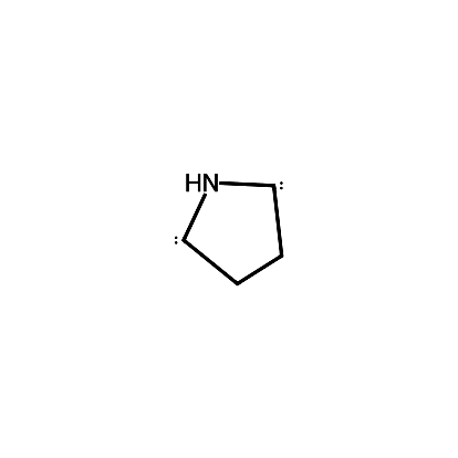 [C]1CC[C]N1